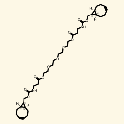 O=C(CCNC(=O)OC[C@@H]1[C@@H]2CCC#CCC[C@@H]21)OCCOCCOCCOCCOC(=O)CCNC(=O)OC[C@@H]1[C@@H]2CCC#CCC[C@@H]21